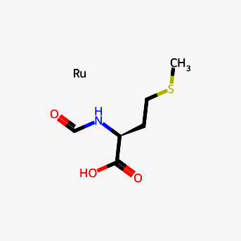 CSCC[C@H](NC=O)C(=O)O.[Ru]